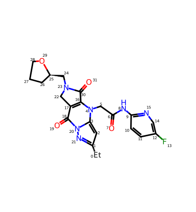 CCc1cc2n(CC(=O)Nc3ccc(F)cn3)c3c(c(=O)n2n1)CN(C[C@H]1CCCO1)C3=O